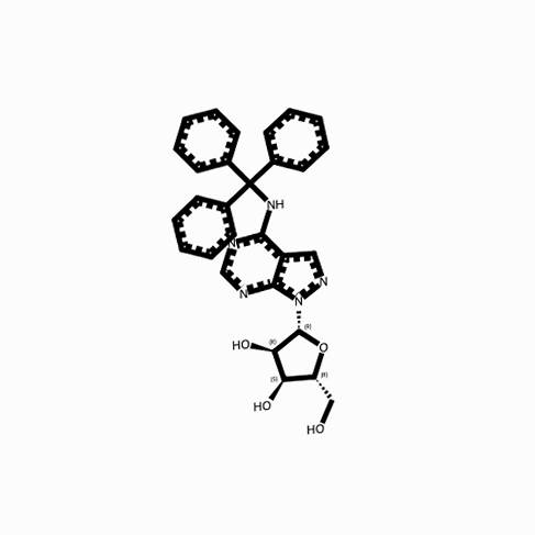 OC[C@H]1O[C@@H](n2ncc3c(NC(c4ccccc4)(c4ccccc4)c4ccccc4)ncnc32)[C@H](O)[C@@H]1O